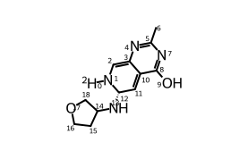 [2H]N1C=c2nc(C)nc(O)c2=C[C@@H]1NC1CCOC1